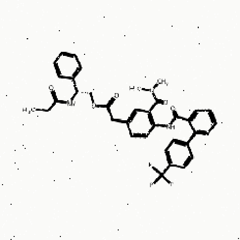 CCC(=O)N[C@@H](COC(=O)Cc1ccc(NC(=O)c2ccccc2-c2ccc(C(F)(F)F)cc2)c(C(=O)N(C)C)c1)c1ccccc1